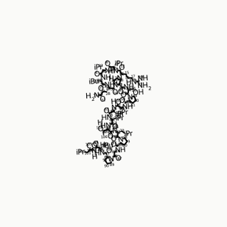 CC[C@H](C)[C@H](NC(=O)[C@@H](NC(=O)[C@@H](NC(=O)[C@@H](N)CCCNC(=N)N)C(C)C)C(C)C)C(=O)N[C@@H](CCC(N)=O)C(=O)N1CCC[C@H]1C(=O)N[C@@H](CO)C(=O)N1CCC[C@H]1C(=O)N[C@H](C(=O)N[C@H](C(=O)N[C@H](C(=O)N[C@H](C(=O)N[C@@H](CC(C)C)C(=O)N1CCC[C@H]1C(=O)NCC(=O)N1CCC[C@H]1C(=O)N[C@H](C(=O)N[C@@H](CC(C)C)C(=O)O)[C@@H](C)CC)[C@@H](C)O)C(C)C)C(C)C)C(C)C